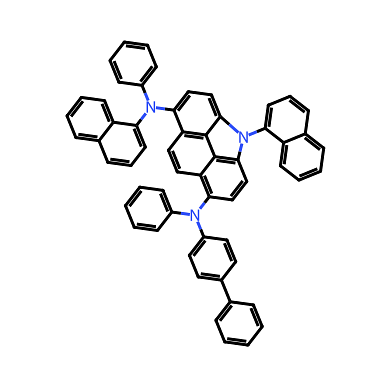 c1ccc(-c2ccc(N(c3ccccc3)c3ccc4c5c3ccc3c(N(c6ccccc6)c6cccc7ccccc67)ccc(c35)n4-c3cccc4ccccc34)cc2)cc1